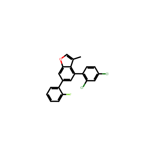 Cc1[c]oc2cc(-c3ccccc3F)cc(-c3ccc(Cl)cc3Cl)c12